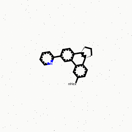 CCCCCCc1ccc2c(c1)-c1cc(-c3ccccn3)ccc1[C@]13CCC[C@]21CCC3